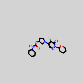 O=C(NC1CCCCC1)OC1CCN(c2cnn(C3CCCCO3)c(=O)c2Cl)C1